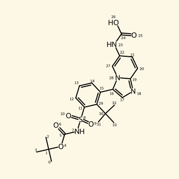 CC(C)(C)OC(=O)NS(=O)(=O)c1cccc(-c2cnc3ccc(NC(=O)O)cn23)c1C(C)(C)C